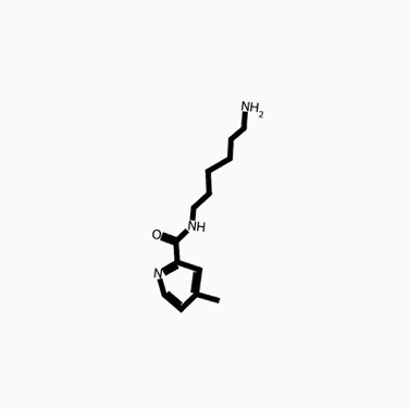 Cc1ccnc(C(=O)NCCCCCCN)c1